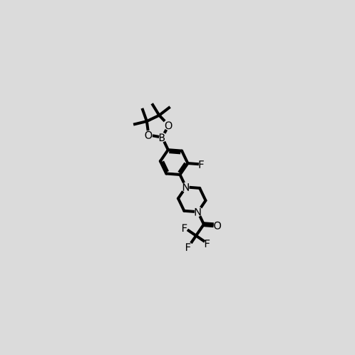 CC1(C)OB(c2ccc(N3CCN(C(=O)C(F)(F)F)CC3)c(F)c2)OC1(C)C